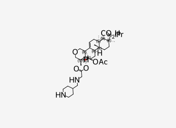 CC(=O)O[C@@H]1C[C@@]23COC[C@](C)([C@@H]2CC[C@H]2C3=CC[C@@]3(C)[C@H](C(=O)O)[C@@](C)([C@H](C)C(C)C)CC[C@]23C)[C@H]1OC(=O)CNCC1CCNCC1